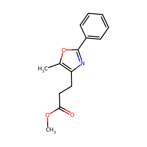 COC(=O)CCc1nc(-c2ccccc2)oc1C